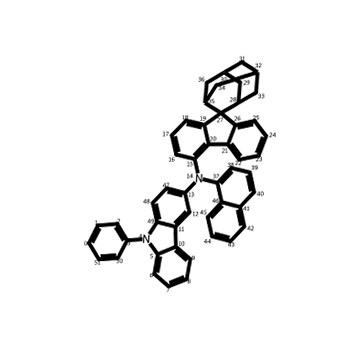 c1ccc(-n2c3ccccc3c3cc(N(c4cccc5c4-c4ccccc4C54C5CC6CC(C5)CC4C6)c4cccc5ccccc45)ccc32)cc1